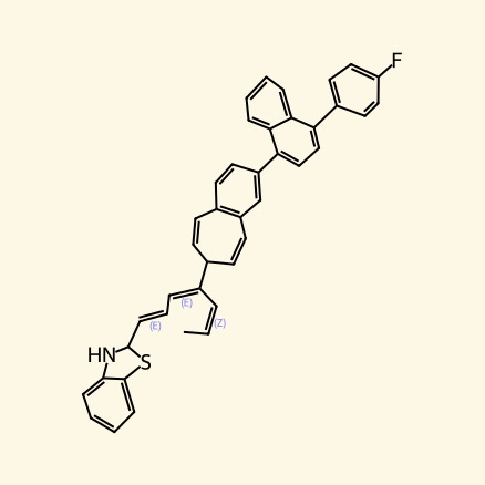 C\C=C/C(=C\C=C\C1Nc2ccccc2S1)C1C=Cc2ccc(-c3ccc(-c4ccc(F)cc4)c4ccccc34)cc2C=C1